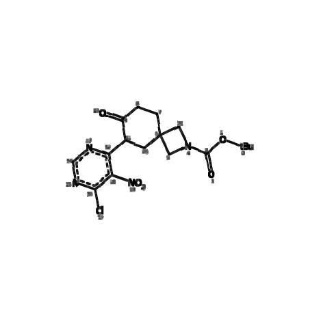 CC(C)(C)OC(=O)N1CC2(CCC(=O)C(c3ncnc(Cl)c3[N+](=O)[O-])C2)C1